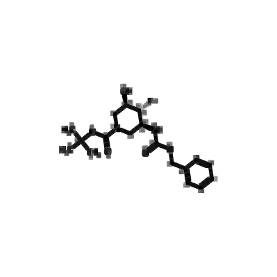 CC(C)(C)OC(=O)N1C[C@@H](O)[C@H](F)[C@@H](NC(=O)OCc2ccccc2)C1